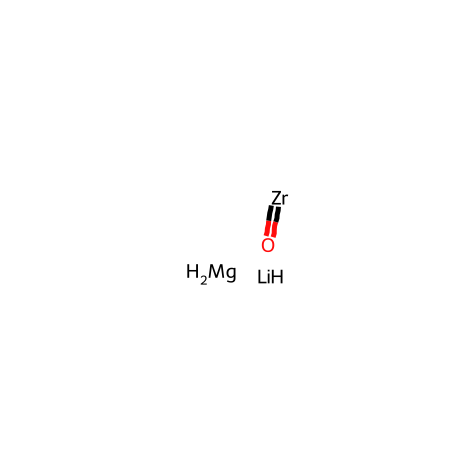 [LiH].[MgH2].[O]=[Zr]